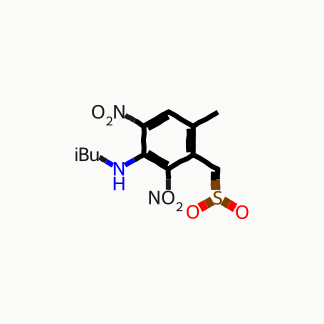 CCC(C)Nc1c([N+](=O)[O-])cc(C)c(C=S(=O)=O)c1[N+](=O)[O-]